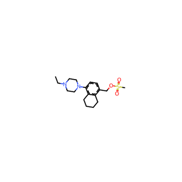 CCN1CCN(c2ccc(COS(C)(=O)=O)c3c2CCCC3)CC1